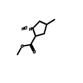 COC(=O)C1CC(C)CN1.Cl